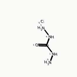 NNC(=O)NN.[C]